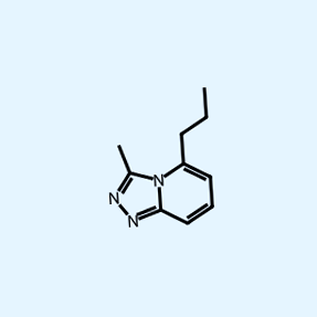 CCCc1cccc2nnc(C)n12